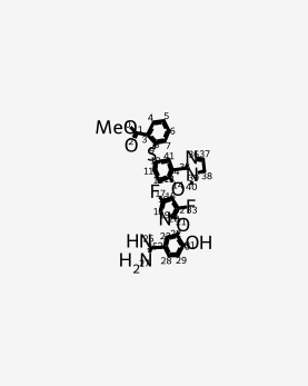 COC(=O)c1ccccc1Sc1ccc(Oc2c(F)cnc(Oc3cc(C(=N)N)ccc3O)c2F)c(C2N=CCN2C)c1